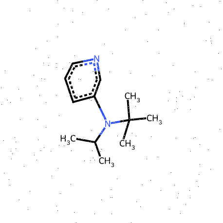 CC(C)N(c1cccnc1)C(C)(C)C